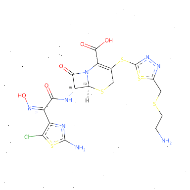 NCCSCc1nnc(SC2=C(C(=O)O)N3C(=O)[C@@H](NC(=O)/C(=N\O)c4nc(N)sc4Cl)[C@@H]3SC2)s1